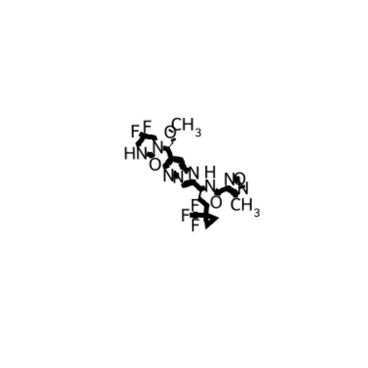 COC[C@H](c1cnn2cc([C@H](CCC3(C(F)(F)F)CC3)NC(=O)c3nonc3C)nc2c1)N1CC(F)(F)CNC1=O